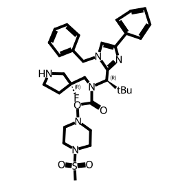 CC(C)(C)[C@H](c1nc(-c2ccccc2)cn1Cc1ccccc1)N(C[C@@]1(F)CCNC1)C(=O)ON1CCN(S(C)(=O)=O)CC1